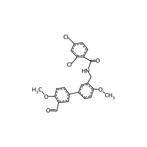 COc1ccc(-c2ccc(OC)c(CNC(=O)c3ccc(Cl)cc3Cl)c2)cc1C=O